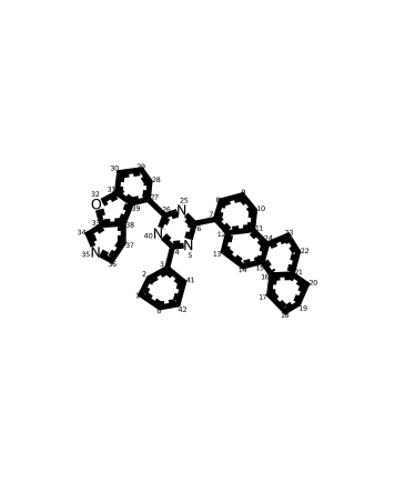 c1ccc(-c2nc(-c3cccc4c3ccc3c5ccccc5ccc43)nc(-c3cccc4oc5cnccc5c34)n2)cc1